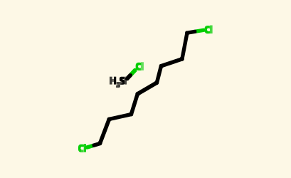 ClCCCCCCCCCl.[SiH3]Cl